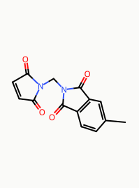 Cc1ccc2c(c1)C(=O)N(CN1C(=O)C=CC1=O)C2=O